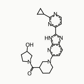 O=C(C1CCCN(c2ccc3nc(-c4ccnc(C5CC5)n4)[nH]c3n2)C1)N1CCC(O)C1